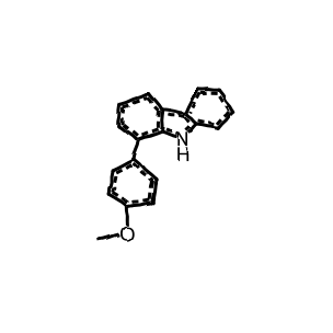 COc1ccc(-c2cccc3c2[nH]c2ccccc23)cc1